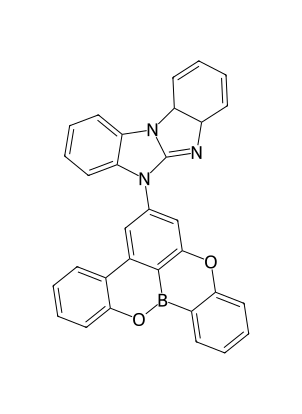 C1=CC2N=C3N(c4cc5c6c(c4)-c4ccccc4OB6c4ccccc4O5)c4ccccc4N3C2C=C1